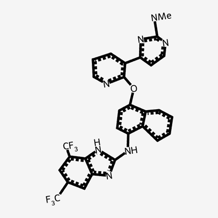 CNc1nccc(-c2cccnc2Oc2ccc(Nc3nc4cc(C(F)(F)F)cc(C(F)(F)F)c4[nH]3)c3ccccc23)n1